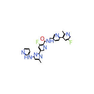 Cc1cc(Nc2cccnc2)nc(-c2cnc(C(=O)NCc3ccc(-c4cc(F)cnc4C)nc3)c(F)c2)n1